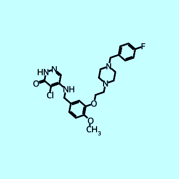 COc1ccc(CNc2cn[nH]c(=O)c2Cl)cc1OCCN1CCN(Cc2ccc(F)cc2)CC1